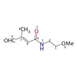 COCCNC(=O)C=C(C)[C]=O